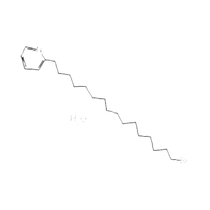 BrCCCCCCCCCCCCCCCCc1ccccn1.O